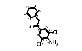 Nc1c(Cl)cc(C(=O)Cc2ccccc2)cc1Cl